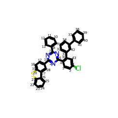 Clc1ccc(-c2nc(-c3ccccc3)nc(-c3ccc4sc5ccccc5c4c3)n2)c(-c2cccc(-c3ccccc3)c2)c1